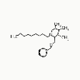 CCCCCCCCCN1CC(C)C(C)C(C)C1COCc1ccccc1